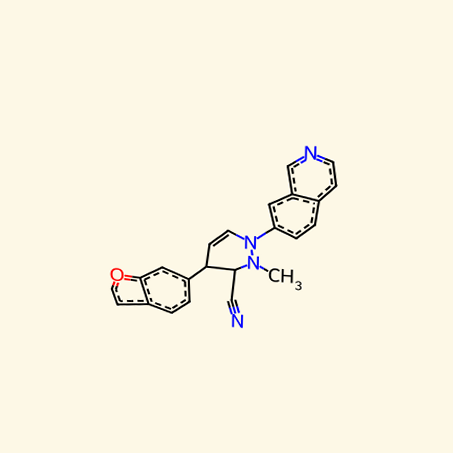 CN1C(C#N)C(c2ccc3ccoc3c2)C=CN1c1ccc2ccncc2c1